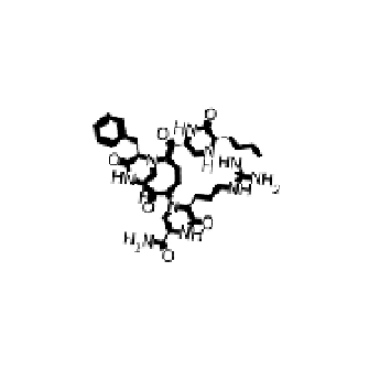 CCCC[C@@H]1NC[C@H](C(=O)C2CCC(N3C[C@H](C(N)=O)NC(=O)[C@@H]3CCCNC(=N)N)C(=O)[C@H]3CN2[C@H](Cc2ccccc2)C(=O)N3)NC1=O